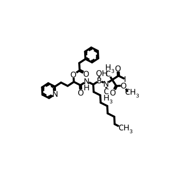 CCCCCCCCC(NC(=O)C(CCc1ccccn1)OC(=O)Cc1ccccc1)B(O)N(C)C(C)(C(=O)I)C(=O)OC